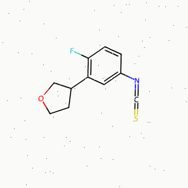 Fc1ccc(N=C=S)cc1C1CCOC1